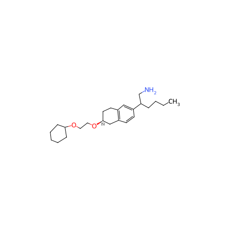 CCCCC(CN)c1ccc2c(c1)CC[C@H](OCCOC1CCCCC1)C2